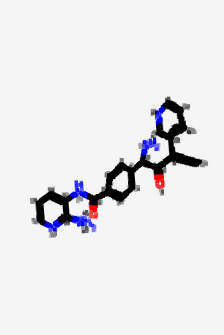 C=C(C(=O)C(N)c1ccc(C(=O)Nc2cccnc2N)cc1)c1cccnc1